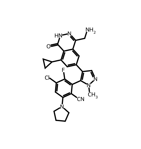 Cn1ncc(-c2cc(C3CC3)c3c(=O)[nH]nc(CN)c3c2)c1-c1c(F)c(Cl)cc(N2CCCC2)c1C#N